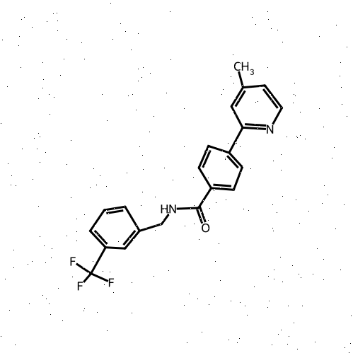 Cc1ccnc(-c2ccc(C(=O)NCc3cccc(C(F)(F)F)c3)cc2)c1